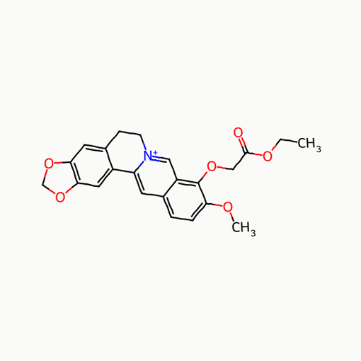 CCOC(=O)COc1c(OC)ccc2cc3[n+](cc12)CCc1cc2c(cc1-3)OCO2